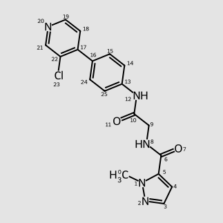 Cn1nccc1C(=O)NCC(=O)Nc1ccc(-c2ccncc2Cl)cc1